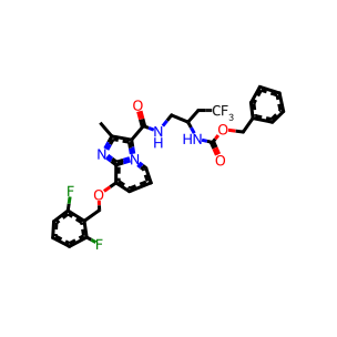 Cc1nc2c(OCc3c(F)cccc3F)cccn2c1C(=O)NCC(CC(F)(F)F)NC(=O)OCc1ccccc1